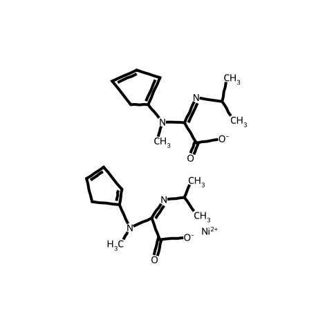 CC(C)N=C(C(=O)[O-])N(C)C1=CC=CC1.CC(C)N=C(C(=O)[O-])N(C)C1=CC=CC1.[Ni+2]